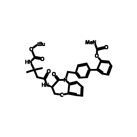 CNC(=O)Oc1ccccc1-c1ccc(CN2C(=O)[C@H](NC(=O)CC(C)(C)NC(=O)OC(C)(C)C)CCc3ccccc32)cc1